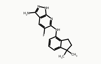 CC1(C)CCc2c(Nc3nc4[nH]nc(N)c4cc3F)cccc21